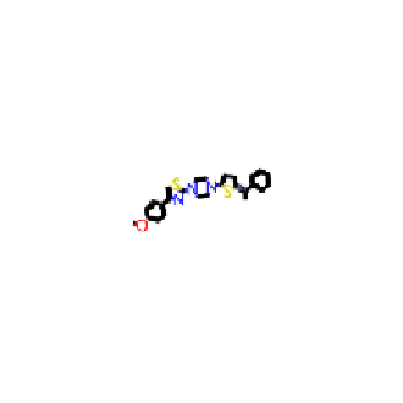 COc1ccc(-c2csc(N3CCN(C4CC/C(=C(/C)c5ccccc5)S4)CC3)n2)cc1